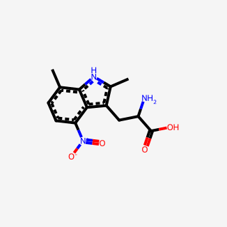 Cc1[nH]c2c(C)ccc([N+](=O)[O-])c2c1CC(N)C(=O)O